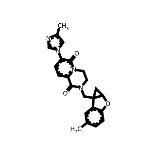 Cc1ccc2c(c1)C1(CN3CCn4c(ccc(-n5cnc(C)c5)c4=O)C3=O)CC1O2